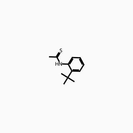 CC(=S)Nc1ccccc1C(C)(C)C